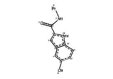 CC(C)NC(=O)c1cc2cc(C#N)ccc2[nH]1